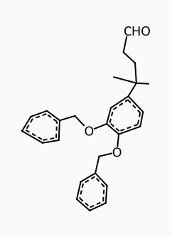 CC(C)(CCC=O)c1ccc(OCc2ccccc2)c(OCc2ccccc2)c1